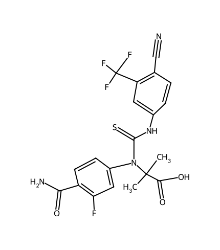 CC(C)(C(=O)O)N(C(=S)Nc1ccc(C#N)c(C(F)(F)F)c1)c1ccc(C(N)=O)c(F)c1